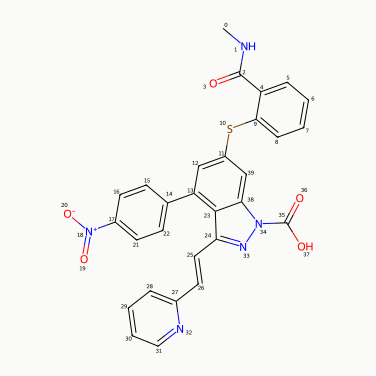 CNC(=O)c1ccccc1Sc1cc(-c2ccc([N+](=O)[O-])cc2)c2c(C=Cc3ccccn3)nn(C(=O)O)c2c1